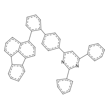 c1ccc(-c2cc(-c3ccc(-c4ccccc4-c4ccc5c6c(cccc46)-c4ccccc4-5)cc3)nc(-c3ccccc3)n2)cc1